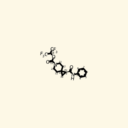 O=C(Nc1ccccc1)[C@H]1CC12CCN(C(=O)OC(C(F)(F)F)C(F)(F)F)CC2